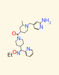 CCON=C(c1ccccn1)C1CCN(C(=O)C2CCN(Cc3ccnc(N)c3)C(C)C2)CC1